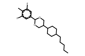 CCCCCC1CCC(C2COC(c3cc(F)c(C)c(F)c3)OC2)CC1